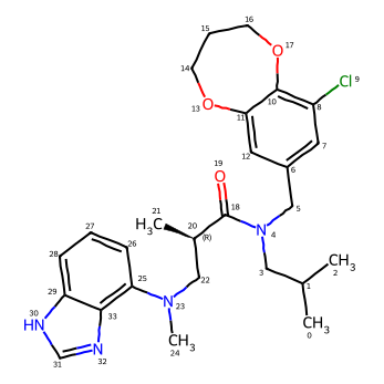 CC(C)CN(Cc1cc(Cl)c2c(c1)OCCCO2)C(=O)[C@H](C)CN(C)c1cccc2[nH]cnc12